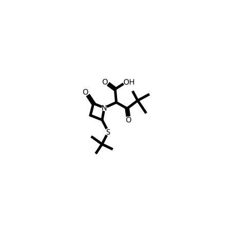 CC(C)(C)SC1CC(=O)N1C(C(=O)O)C(=O)C(C)(C)C